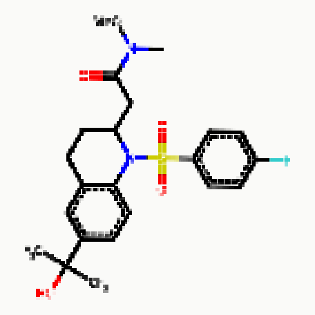 CON(C)C(=O)CC1CCc2cc(C(O)(C(F)(F)F)C(F)(F)F)ccc2N1S(=O)(=O)c1ccc(F)cc1